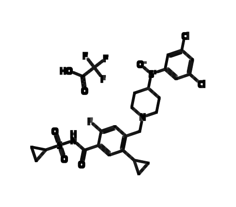 O=C(NS(=O)(=O)C1CC1)c1cc(C2CC2)c(CN2CCC([S+]([O-])c3cc(Cl)cc(Cl)c3)CC2)cc1F.O=C(O)C(F)(F)F